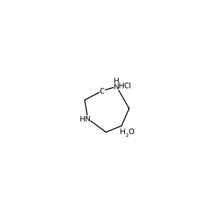 C1CNCCNC1.Cl.O